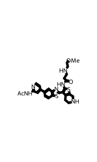 COCCNCCC(=O)Nc1sc2c(c1-c1nc3cc(-c4ccnc(NC(C)=O)c4)ccc3s1)CCNC2